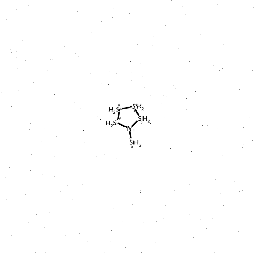 [SiH3]N1[SiH2][SiH2][SiH2][SiH2]1